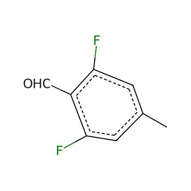 Cc1cc(F)c(C=O)c(F)c1